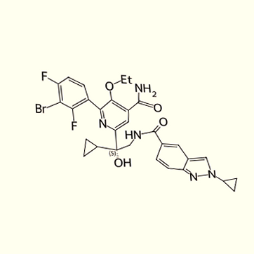 CCOc1c(C(N)=O)cc([C@@](O)(CNC(=O)c2ccc3nn(C4CC4)cc3c2)C2CC2)nc1-c1ccc(F)c(Br)c1F